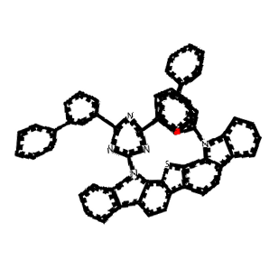 c1ccc(-c2cccc(-c3nc(-c4ccccc4)nc(-n4c5ccccc5c5ccc6c7ccc8c9ccccc9n(-c9cccc(-c%10ccccc%10)c9)c8c7sc6c54)n3)c2)cc1